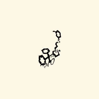 Cc1cccc(SCCC[N+]2(C)CC[C@@H](C(C(N)=O)(c3ccccc3)c3ccccc3)C2)c1